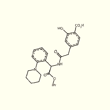 CC(C)OC(=O)C(NC(=O)Cc1ccc(C(=O)O)c(O)c1)c1ccccc1N1CCCCC1